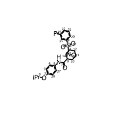 CC(C)Oc1ccc(NC(=O)C2CC3CCC2N(S(=O)(=O)c2cccc(F)c2)C3)cc1